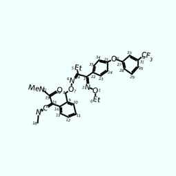 CCON=C(C(CC)=NOCc1ccccc1C(=C=NC)C(=O)NC)c1ccc(Oc2cccc(C(F)(F)F)c2)cc1